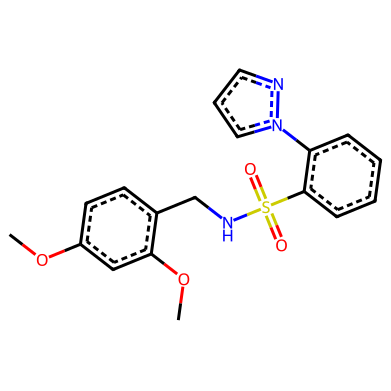 COc1ccc(CNS(=O)(=O)c2ccccc2-n2cccn2)c(OC)c1